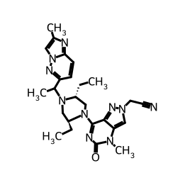 CC[C@H]1CN(C(C)c2ccc3nc(C)cn3n2)[C@H](CC)CN1c1nc(=O)n(C)c2cn(CC#N)nc12